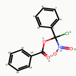 O=C(OC(Cl)(c1ccccc1)[N+](=O)[O-])c1ccccc1